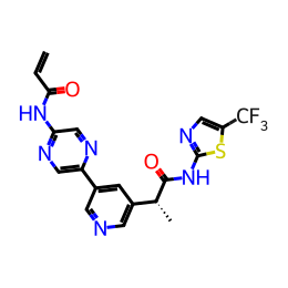 C=CC(=O)Nc1cnc(-c2cncc([C@@H](C)C(=O)Nc3ncc(C(F)(F)F)s3)c2)cn1